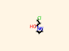 OC(CCCl)n1cccn1